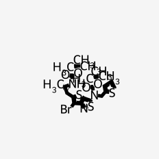 C[C@@H](Cc1sc2c(N(Cc3cccs3)C(=O)OC(C)(C)C)snc2c1Br)NC(=O)OC(C)(C)C